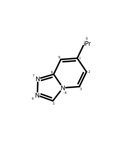 CC(C)c1ccn2cnnc2c1